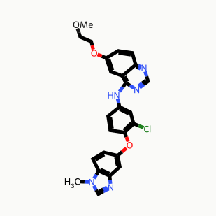 COCCOc1ccc2ncnc(Nc3ccc(Oc4ccc5c(c4)ncn5C)c(Cl)c3)c2c1